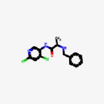 CC(NCc1ccccc1)C(=O)Nc1cnc(Cl)cc1Cl